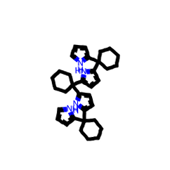 c1c[nH]c(C2(c3ccc(C4(c5ccc(C6(c7ccc[nH]7)CCCCC6)[nH]5)CCCCC4)[nH]3)CCCCC2)c1